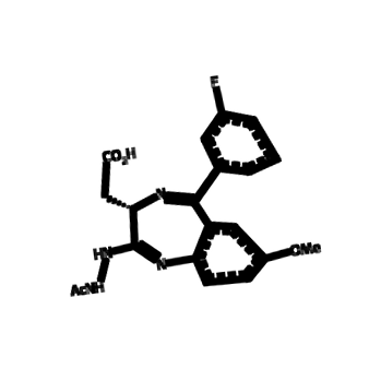 COc1ccc2c(c1)C(c1cccc(F)c1)=N[C@@H](CC(=O)O)C(NNC(C)=O)=N2